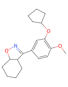 COc1ccc(C2=NOC3CCCCC23)cc1OC1CCCC1